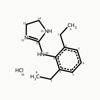 CCc1cccc(CC)c1NC1=NCCN1.Cl